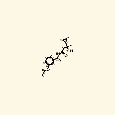 C[C@H](NC(=O)C[C@@](C)(O)C1CC1)c1cccc(OCC(F)(F)F)c1